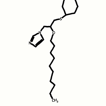 CCCCCCCCCCOC(CSC1CCCCC1)Cn1ccnc1